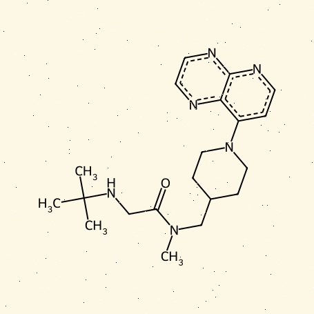 CN(CC1CCN(c2ccnc3nccnc23)CC1)C(=O)CNC(C)(C)C